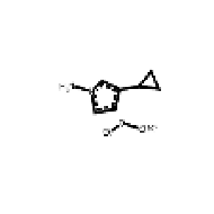 CCOC=O.Nn1ccc(C2CC2)c1